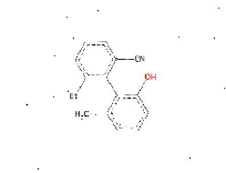 CCc1cccc(C#N)c1-c1c(C)cccc1O